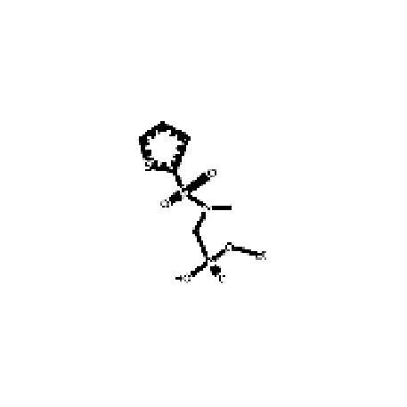 CCOP(=O)(O)CN(C)S(=O)(=O)c1cccs1